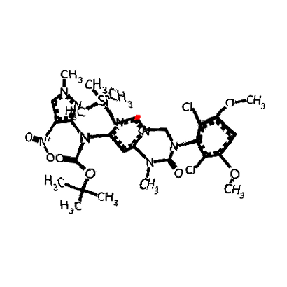 COc1cc(OC)c(Cl)c(N(COCC[Si](C)(C)C)C(=O)N(C)c2cc(N(C(=O)OC(C)(C)C)c3nn(C)cc3[N+](=O)[O-])ncn2)c1Cl